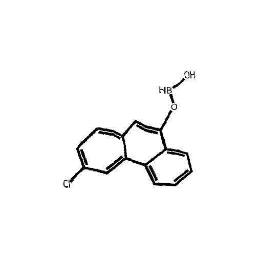 OBOc1cc2ccc(Cl)cc2c2ccccc12